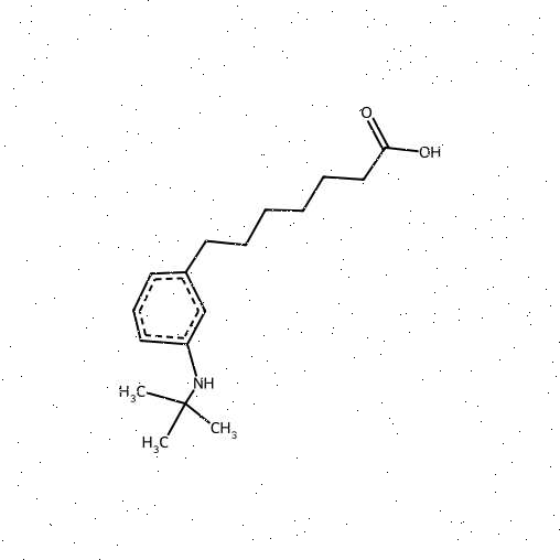 CC(C)(C)Nc1cccc(CCCCCCC(=O)O)c1